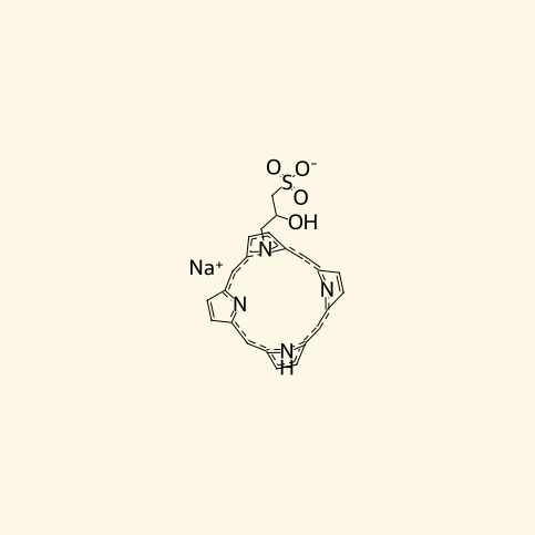 O=S(=O)([O-])CC(O)Cn1c2ccc1cc1nc(cc3ccc(cc4nc(c2)C=C4)[nH]3)C=C1.[Na+]